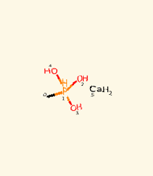 C[PH](O)(O)O.[CaH2]